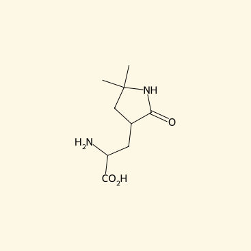 CC1(C)CC(CC(N)C(=O)O)C(=O)N1